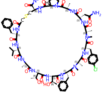 CC(C)[C@@H]1NC(=O)[C@H](Cc2ccccc2)NC(=O)CSC[C@@H](C(N)=O)NC(=O)[C@@H]2CCCN2C(=O)[C@H](C)NC(=O)[C@H](CC(N)=O)NC(=O)[C@H](C)N(C)C(=O)[C@H](Cc2ccc(Cl)cc2)NC(=O)[C@H](C)N(C)C(=O)[C@H](Cc2ccccc2)NC(=O)[C@H]([C@@H](C)O)NC(=O)[C@H]([C@@H](C)O)NC(=O)[C@H](C)NC1=O